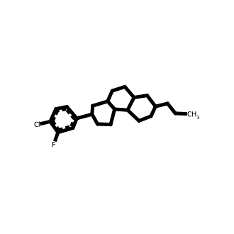 CCCC1CCC2C(CCC3CC(c4ccc(Cl)c(F)c4)CCC32)C1